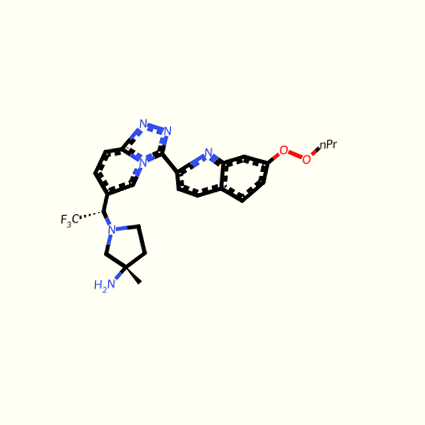 CCCOOc1ccc2ccc(-c3nnc4ccc([C@H](N5CC[C@](C)(N)C5)C(F)(F)F)cn34)nc2c1